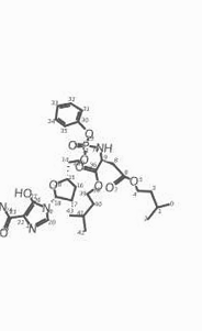 CC(C)CCOC(=O)C[C@H](NP(=O)(OC[C@@H]1CC[C@H](n2cnc(C(N)=O)c2O)O1)Oc1ccccc1)C(=O)OCCC(C)C